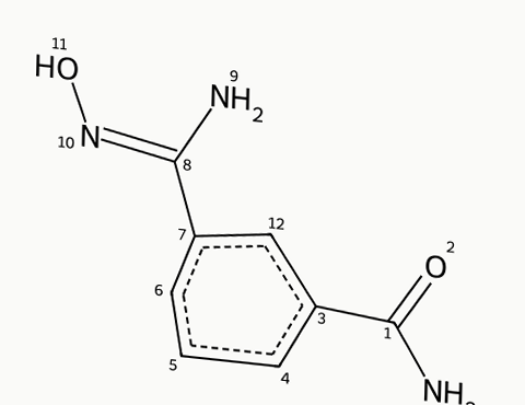 NC(=O)c1cccc(C(N)=NO)c1